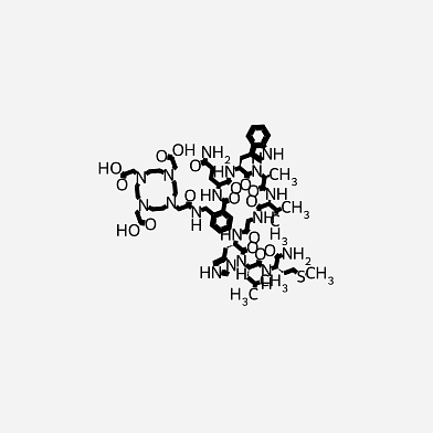 CSCC[C@H](NC(=O)[C@H](CC(C)C)NC(=O)[C@H](Cc1c[nH]cn1)NC(=O)CNC(=O)[C@@H](NC(=O)[C@H](C)NC(=O)[C@H](Cc1c[nH]c2ccccc12)NC(=O)C(CCC(N)=O)NC(=O)c1ccccc1CNC(=O)CN1CCN(CC(=O)O)CCN(CC(=O)O)CCN(CC(=O)O)CC1)C(C)C)C(N)=O